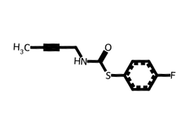 CC#CCNC(=O)Sc1ccc(F)cc1